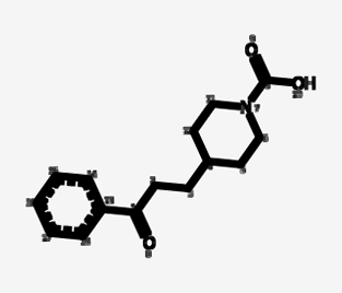 O=C(CCC1CCN(C(=O)O)CC1)c1ccccc1